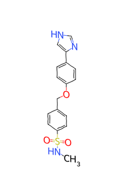 CNS(=O)(=O)c1ccc(COc2ccc(-c3c[nH]cn3)cc2)cc1